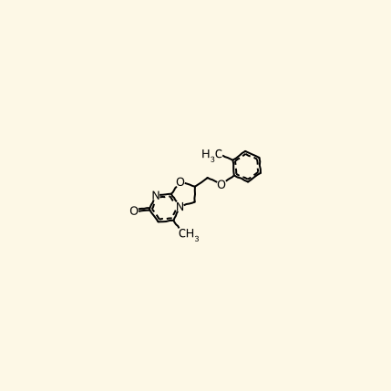 Cc1ccccc1OCC1Cn2c(C)cc(=O)nc2O1